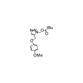 COc1ccc(OCc2cnnn2COC(=O)C(C)(C)C)cc1